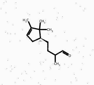 CC1=CC[C@H](CCC(C)C=O)C1(C)C